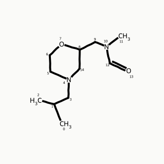 CC(C)CN1CCOC(CN(C)C=O)C1